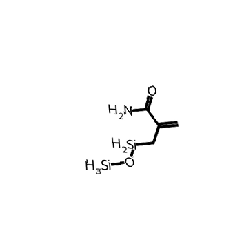 C=C(C[SiH2]O[SiH3])C(N)=O